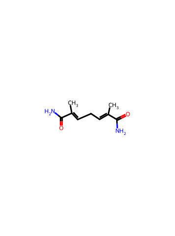 C/C(=C\C/C=C(\C)C(N)=O)C(N)=O